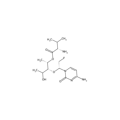 CC(C)[C@H](N)C(=O)O[C@@H](C)[C@H](O[C@H](CF)n1ccc(N)nc1=O)C(C)O